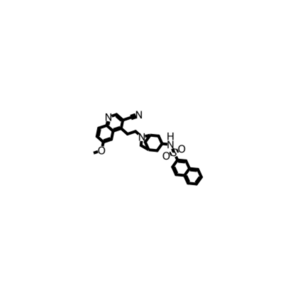 COc1ccc2ncc(C#N)c(CCN3CC4CC(NS(=O)(=O)c5ccc6ccccc6c5)CC3C4)c2c1